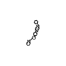 c1ccc(CN2CCN(c3ccc(OCCCN4CCCCC4)cc3)CC2)cc1